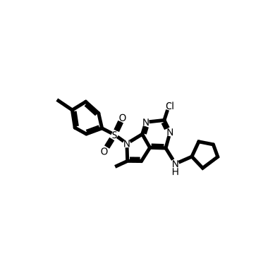 Cc1ccc(S(=O)(=O)n2c(C)cc3c(NC4CCCC4)nc(Cl)nc32)cc1